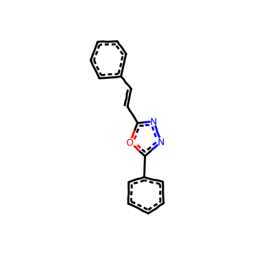 C(=Cc1nnc(-c2ccccc2)o1)c1ccccc1